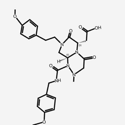 COc1ccc(CCN2C[C@H]3N(C(=O)CN(C)N3C(=O)NCc3ccc(OC)cc3)[C@@H](CC(=O)O)C2=O)cc1